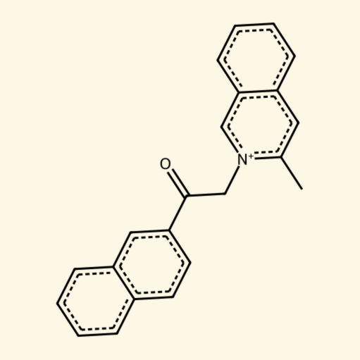 Cc1cc2ccccc2c[n+]1CC(=O)c1ccc2ccccc2c1